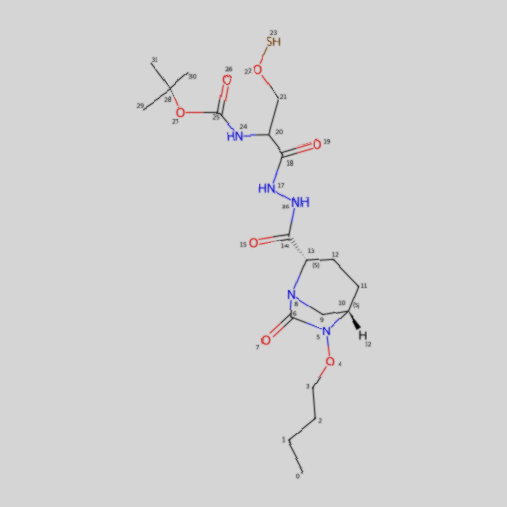 CCCCON1C(=O)N2C[C@@H]1CC[C@H]2C(=O)NNC(=O)C(COS)NC(=O)OC(C)(C)C